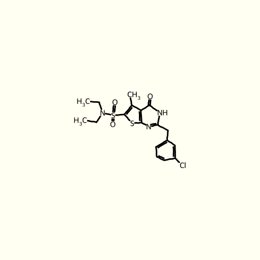 CCN(CC)S(=O)(=O)c1sc2nc(Cc3cccc(Cl)c3)[nH]c(=O)c2c1C